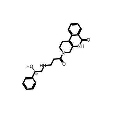 O=C(CCNC[C@@H](O)c1ccccc1)N1CCc2c([nH]c(=O)c3ccccc23)C1